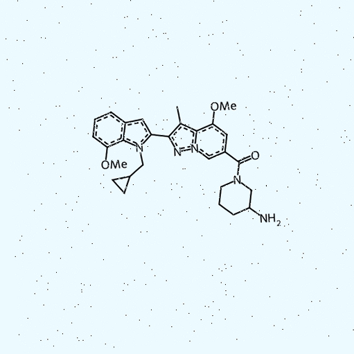 COc1cccc2cc(-c3nn4cc(C(=O)N5CCCC(N)C5)cc(OC)c4c3C)n(CC3CC3)c12